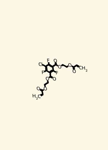 C=CC(=O)OCCOC(=O)c1c(F)c(Cl)c(F)c(C(=O)OCCOC(=O)C=C)c1F